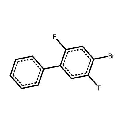 Fc1cc(-c2ccccc2)c(F)cc1Br